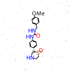 COc1ccc(CNC(=O)Nc2ccc([C@H]3CNCC[S+]3[O-])cc2)cc1